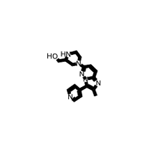 Cc1nc2ccc(N3CCNC(CO)C3)nn2c1-c1ccncc1